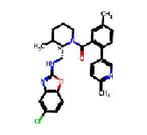 Cc1ccc(-c2ccc(C)nc2)c(C(=O)N2CCCC(C)[C@H]2CNc2nc3cc(Cl)ccc3o2)c1